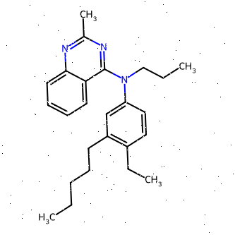 CCCCCc1cc(N(CCC)c2nc(C)nc3ccccc23)ccc1CC